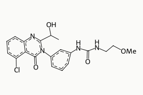 COCCNC(=O)Nc1cccc(-n2c(C(C)O)nc3cccc(Cl)c3c2=O)c1